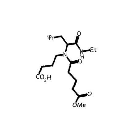 CCNC(=O)C(CC(C)C)N(CCCC(=O)O)C(=O)CCCC(=O)OC